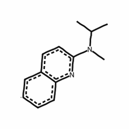 CC(C)N(C)c1ccc2c[c]ccc2n1